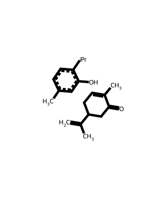 C=C(C)C1CC=C(C)C(=O)C1.Cc1ccc(C(C)C)c(O)c1